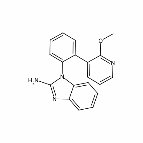 COc1ncccc1-c1ccccc1-n1c(N)nc2ccccc21